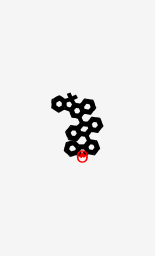 CC1(C)c2ccccc2-c2cc(-c3c4ccccc4c(-c4cccc5oc6ccccc6c45)c4ccccc34)c3ccccc3c21